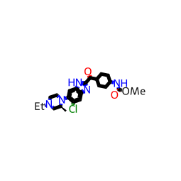 CCN1CCN(c2cc3[nH]c(C(=O)C4CCC(NC(=O)OC)CC4)nc3cc2Cl)[C@@H](C)C1